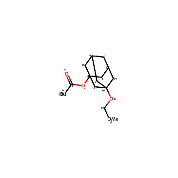 CCC(C)C(=O)OC12CC3CC(CC(OCOC)(C3)C1)C2